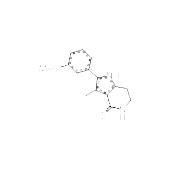 COc1cccc(-c2[nH]c3c(c2C)C(=O)NCC3)c1